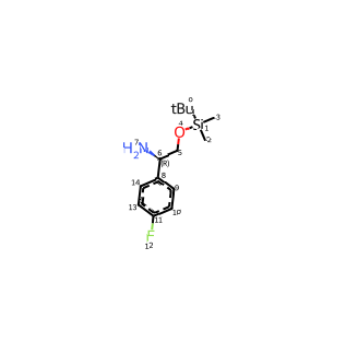 CC(C)(C)[Si](C)(C)OC[C@H](N)c1ccc(F)cc1